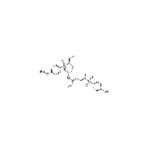 C=C/C(=C\C=C(/C)S(=O)(=O)c1ccc(C(C)C)cc1)OC(/C=C\C(=C/CC)S(=O)(=O)C(/C=C\C(=C)OC(C)(C)C)=C/C)=C/C